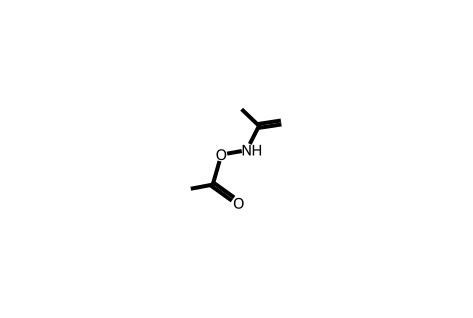 C=C(C)NOC(C)=O